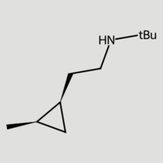 C[C@@H]1C[C@@H]1CCNC(C)(C)C